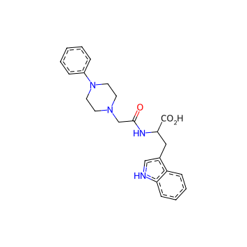 O=C(CN1CCN(c2ccccc2)CC1)NC(Cc1c[nH]c2ccccc12)C(=O)O